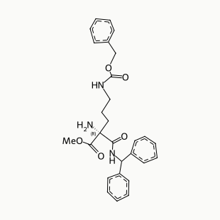 COC(=O)[C@@](N)(CCCNC(=O)OCc1ccccc1)C(=O)NC(c1ccccc1)c1ccccc1